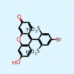 O=c1ccc2c(-c3c(S(=O)(=O)O)cc(Br)cc3S(=O)(=O)O)c3ccc(O)cc3oc-2c1